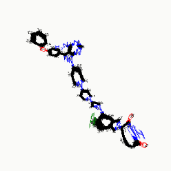 Nc1ncnc2c1c(-c1ccc(Oc3ccccc3)cc1)nn2C1CCN(C2CCN(C3CN(c4cc5c(cc4F)CN(C4CCC(=O)NC4=O)C5)C3)CC2)CC1